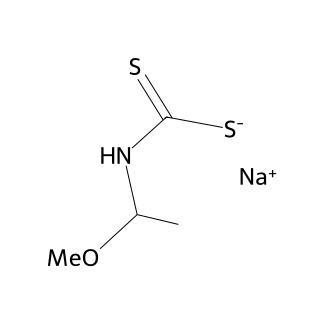 COC(C)NC(=S)[S-].[Na+]